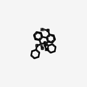 CC(C)Oc1cccc(OC(C)C)c1-c1ccccc1P(=O)(OC1CCCCC1)OC1CCCCC1